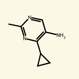 Cc1ncc(N)c(C2CC2)n1